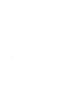 CCOC(=O)C=Cc1ccccc1C(C)c1ccc2c(c1)C(C)(C)CCC2(C)C